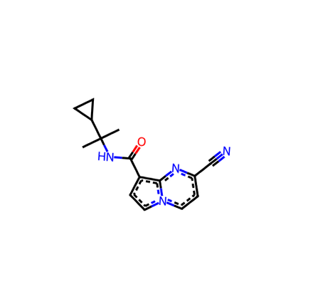 CC(C)(NC(=O)c1ccn2ccc(C#N)nc12)C1CC1